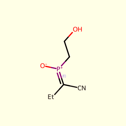 CC/C(C#N)=[P+](\[O-])CCO